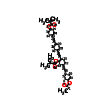 C=CC(=O)Oc1ccc(C#Cc2ccc(C#Cc3ccc(C#Cc4ccc(OC(=O)C(=C)C)cc4)cc3)c(OC(=O)C(=C)C)c2)cc1